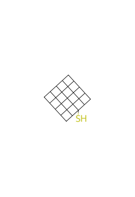 SC12C3CC4C5C6CC7C8C9CC%10C%11C%12CC1C%121C%11%12C9%10C89C76C56C43C21C96%12